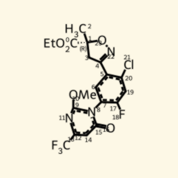 CCOC(=O)[C@@]1(C)CC(c2cc(-n3c(OC)nc(C(F)(F)F)cc3=O)c(F)cc2Cl)=NO1